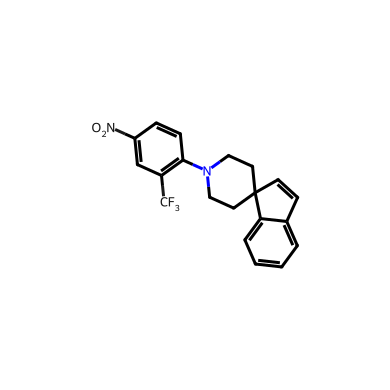 O=[N+]([O-])c1ccc(N2CCC3(C=Cc4ccccc43)CC2)c(C(F)(F)F)c1